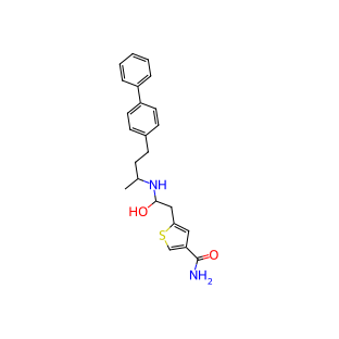 CC(CCc1ccc(-c2ccccc2)cc1)NC(O)Cc1cc(C(N)=O)cs1